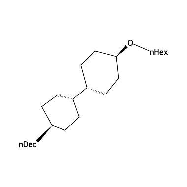 CCCCCCCCCC[C@H]1CC[C@H]([C@H]2CC[C@H](OCCCCCC)CC2)CC1